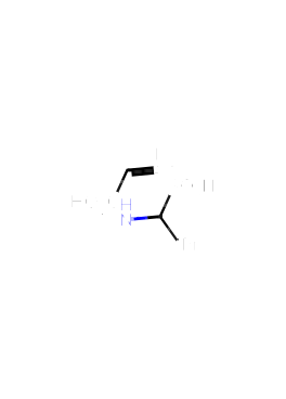 C=CC(=O)O.CC(C)C(N)S(=O)(=O)O